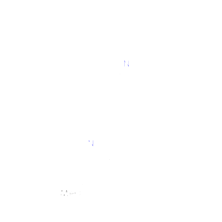 COc1ccc2c(c1)C(C)(Cc1ccccc1C)C(/C=C/C(=C/C=C1/N(C)c3ccc4ccccc4c3C1(C)C)c1ccccc1)=[N+]2C